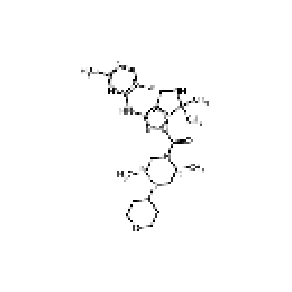 Cc1ncc(F)c(Nc2nn(C(=O)N3C[C@@H](C)N(C4CCOCC4)C[C@@H]3C)c3c2CNC3(C)C)n1